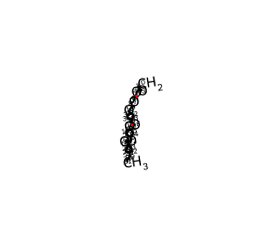 C=CC(=O)OCCOCCOc1ccc(C(=O)Oc2ccc(OC(=O)c3ccc(CCC)cc3)cc2)cc1